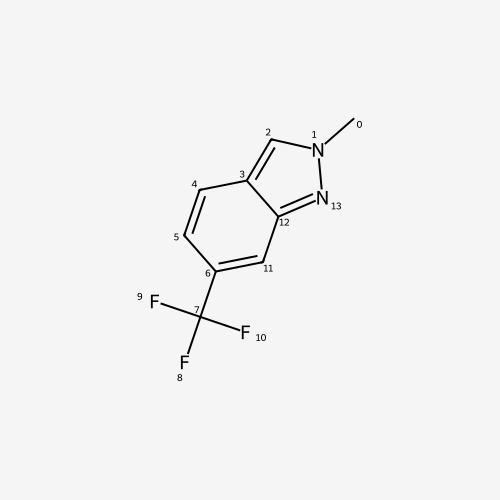 Cn1cc2ccc(C(F)(F)F)cc2n1